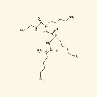 NCCCC[C@H](NC(=O)[C@H](CCCCN)NC(=O)[C@@H](N)CCCCN)C(=O)NCC(=O)O